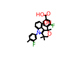 Cc1ccc(-n2c3c(c4c(O)cccc42)C(C)(c2ccc(C(=O)O)cc2F)OCC3(C)C)cc1F